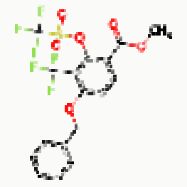 COC(=O)c1ccc(OCc2ccccc2)c(C(F)(F)F)c1OS(=O)(=O)C(F)(F)F